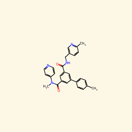 Cc1ccc(-c2cc(C(=O)NCc3ccc(C)nc3)cc(C(=O)N(C)c3ccncc3)c2)cc1